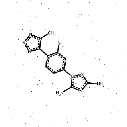 Cn1nnnc1-c1ccc(-n2nc(N)nc2N)cc1Cl